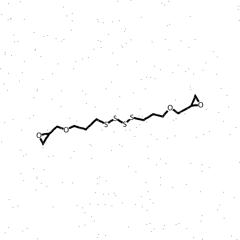 C(COCC1CO1)CSSSSCCCOCC1CO1